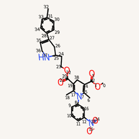 COC(=O)C1=C(C)N(c2cccc([N+](=O)[O-])c2)C(C)=C(C(=O)OCCC2CC(c3ccc(C)cc3)=CCN2)C1